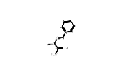 C[C@@H](OCc1ccccc1)C(N)=O